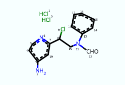 Cl.Cl.Nc1ccnc(C(Cl)CN(C=O)c2ccccc2)c1